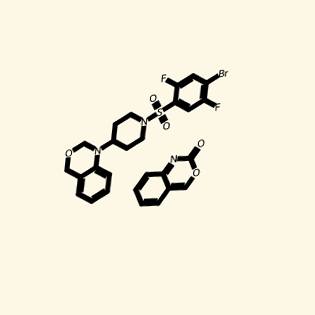 O=S(=O)(c1cc(F)c(Br)cc1F)N1CCC(N2COCc3ccccc32)CC1.O=c1nc2ccccc2co1